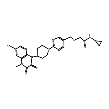 Cn1c(=O)c(=O)n(C2CCN(c3ncc(CNCC(=O)NC4CC4)cn3)CC2)c2ncc(Cl)cc21